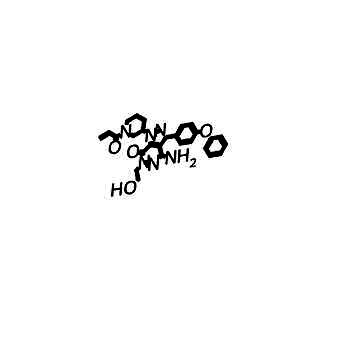 C=CC(=O)N1CCCC(n2nc(-c3ccc(Oc4ccccc4)cc3)c3c(N)nn(CCO)c(=O)c32)C1